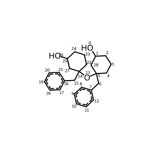 OC1CCCC(Cc2ccccc2)(OC2(Cc3ccccc3)CCCC(O)C2)C1